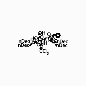 CCCCCCCCCCC[C@H](CC(=O)N[C@@H](CC[C@@H]1O[C@H](CO)[C@@H](O)[C@H](OC(=O)C[C@@H](CCCCCCCCCCC)OCCCCCCCCCC)[C@H]1NC(=O)OCC(Cl)(Cl)Cl)C(=O)OCc1ccccc1)OCCCCCCCCCC